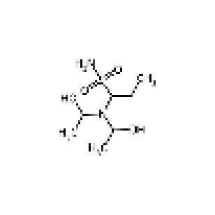 CCC(N(C(C)O)C(C)O)S(N)(=O)=O